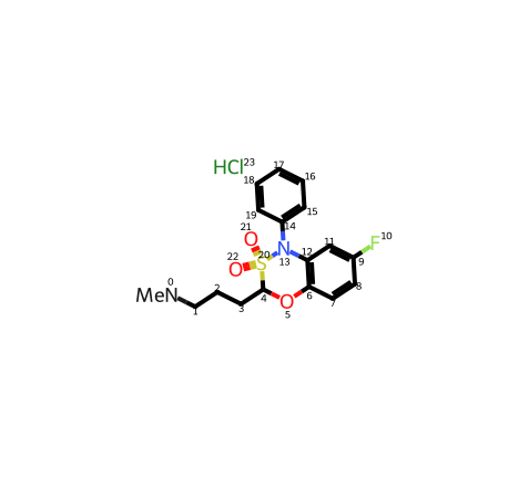 CNCCCC1Oc2ccc(F)cc2N(c2ccccc2)S1(=O)=O.Cl